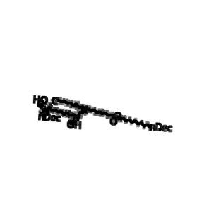 CCCCCCCCCCCCCCCCCCCCCOC(=O)CCCCCCCCCN(CCCCCCCCCC(=O)O)CCCN(CCO)CCCCCCCCCC(=C=O)OCCCCCCCCCCC